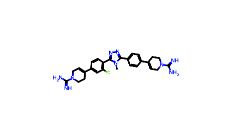 Cn1c(-c2ccc(C3=CCN(C(=N)N)CC3)cc2)nnc1-c1ccc(C2=CCN(C(=N)N)CC2)cc1F